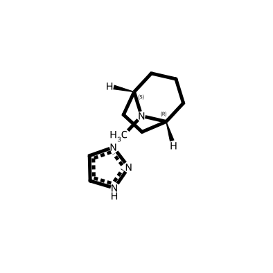 CN1[C@@H]2CCC[C@H]1CC2.c1c[nH]nn1